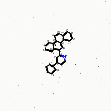 c1ccc(-c2ccnc(-c3cc4c5ccccc5ccc4c4ccccc34)c2)cc1